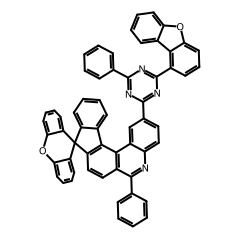 c1ccc(-c2nc(-c3ccc4nc(-c5ccccc5)c5ccc6c(c5c4c3)-c3ccccc3C63c4ccccc4Oc4ccccc43)nc(-c3cccc4oc5ccccc5c34)n2)cc1